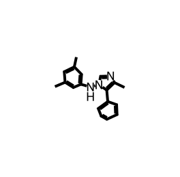 Cc1cc(C)cc(Nn2cnc(C)c2-c2ccccc2)c1